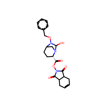 O=C(ON1C(=O)C2CC=CCC2C1=O)[C@@H]1CCC2CN1C(O)N2OCc1ccccc1